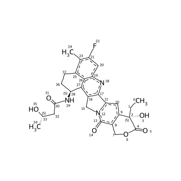 CC[C@@]1(O)C(=O)OCc2c1cc1n(c2=O)Cc2c-1nc1cc(F)c(C)c3c1c2[C@@H](NC(=O)C[C@H](C)O)CC3